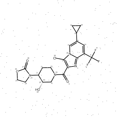 O=C(c1nc2c(C(F)(F)F)cc(C3CC3)cn2c1Cl)N1CCC(N2CCOC2=O)[C@@H](O)C1